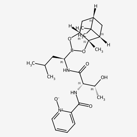 CC(C)C[C@H](NC(=O)[C@@H](NC(=O)c1cccc[n+]1[O-])[C@@H](C)O)B1O[C@@H]2C[C@@H]3C[C@@H](C3(C)C)[C@]2(C)O1